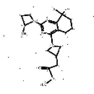 COC(=O)CC1CN(c2nc(N3CC[C@@H]3C)nc3c2CCCC3(F)F)C1